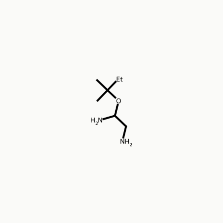 CCC(C)(C)OC(N)CN